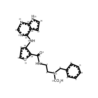 O=C(NCCN(Cc1ccccc1)C(=O)O)c1occc1Nc1ncnc2[nH]ccc12